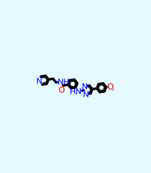 COc1ccc(-c2cnc(Nc3cccc(C(=O)NCCc4ccncc4)c3)nc2)cc1